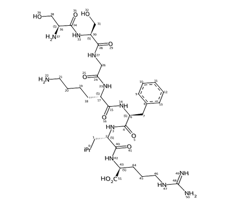 CC(C)C[C@H](NC(=O)[C@H](Cc1ccccc1)NC(=O)[C@H](CCCCN)NC(=O)CNC(=O)[C@H](CO)NC(=O)[C@@H](N)CO)C(=O)N[C@@H](CCCNC(=N)N)C(=O)O